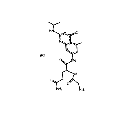 Cc1cc(NC(=O)[C@H](CCC(N)=O)NC(=O)CN)cc2nc(NC(C)C)oc(=O)c12.Cl